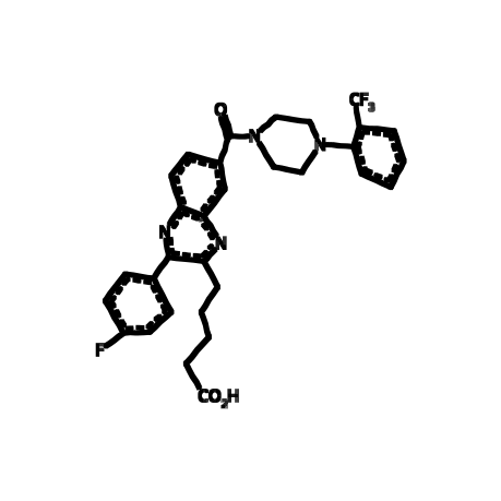 O=C(O)CCCCc1nc2cc(C(=O)N3CCN(c4ccccc4C(F)(F)F)CC3)ccc2nc1-c1ccc(F)cc1